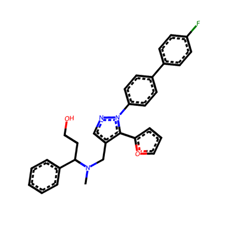 CN(Cc1cnn(-c2ccc(-c3ccc(F)cc3)cc2)c1-c1ccco1)C(CCO)c1ccccc1